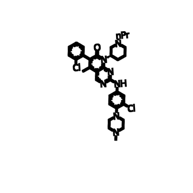 CCCN1CCC[C@H](n2c(=O)c(-c3ccccc3Cl)c(C)c3cnc(Nc4ccc(N5CCN(C)CC5)c(Cl)c4)nc32)C1